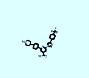 O=C(O)c1cc(-c2ccc(C3CCNCC3)cc2)nc(-n2cc(-c3ccc(C(F)(F)F)cc3)nn2)c1